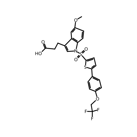 COc1ccc2c(c1)c(CCC(=O)O)cn2S(=O)(=O)c1ccc(-c2ccc(OCC(F)(F)F)cc2)s1